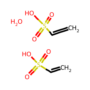 C=CS(=O)(=O)O.C=CS(=O)(=O)O.O